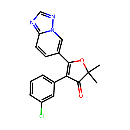 CC1(C)OC(c2ccc3ncnn3c2)=C(c2cccc(Cl)c2)C1=O